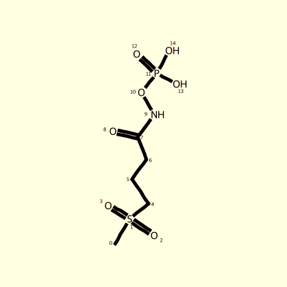 CS(=O)(=O)CCCC(=O)NOP(=O)(O)O